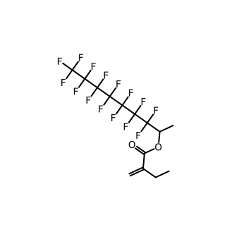 C=C(CC)C(=O)OC(C)C(F)(F)C(F)(F)C(F)(F)C(F)(F)C(F)(F)C(F)(F)C(F)(F)F